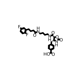 O=C(CCCc1cc(F)ccc1F)NCCCCNC(=O)[C@H]1OC(=O)N[C@@H]1Cc1ccc(C(=O)O)cc1